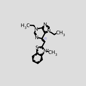 CCN1C=N/C(=C\c2sc3ccccc3[n+]2C)c2c1ncn2CC